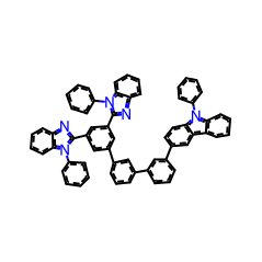 c1ccc(-n2c(-c3cc(-c4cccc(-c5cccc(-c6ccc7c(c6)c6ccccc6n7-c6ccccc6)c5)c4)cc(-c4nc5ccccc5n4-c4ccccc4)c3)nc3ccccc32)cc1